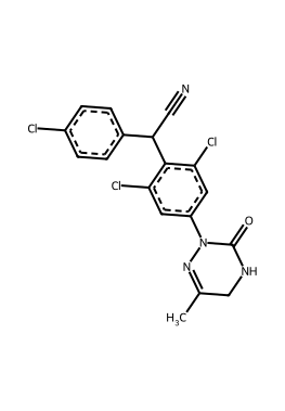 CC1=NN(c2cc(Cl)c(C(C#N)c3ccc(Cl)cc3)c(Cl)c2)C(=O)NC1